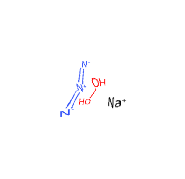 OO.[N-]=[N+]=[N-].[Na+]